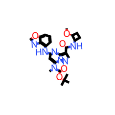 CO[C@H]1CCC1NC(=O)c1cnn2c(N(C)C(=O)OC(C)(C)C)cc(Nc3cccc4ocnc34)nc12